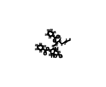 CC#CCC(C)[C@@H](C=C[C@@H]1[C@H]2CC(=O)O[C@H]2C[C@H]1OC(=O)c1ccccc1)OC(=O)c1ccccc1